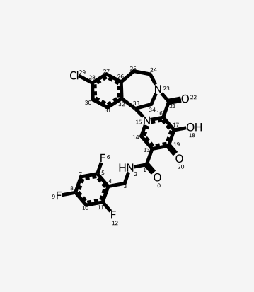 O=C(NCc1c(F)cc(F)cc1F)c1cn2c(c(O)c1=O)C(=O)N1CCc3cc(Cl)ccc3C2C1